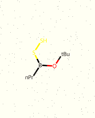 CCCB(OC(C)(C)C)SS